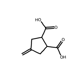 C=C1CC(C(=O)O)C(C(=O)O)C1